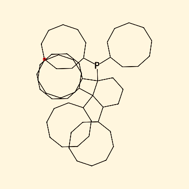 C1CCCCC(C2CCCC(C3CCCCCCCC3)(P(C3CCCCCCCC3)C3CCCCCCCC3)C2(C2CCCCCCCC2)C2CCCCCCCC2)CCC1